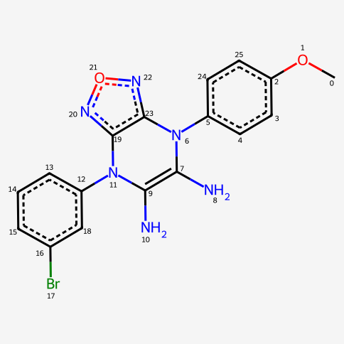 COc1ccc(N2C(N)=C(N)N(c3cccc(Br)c3)c3nonc32)cc1